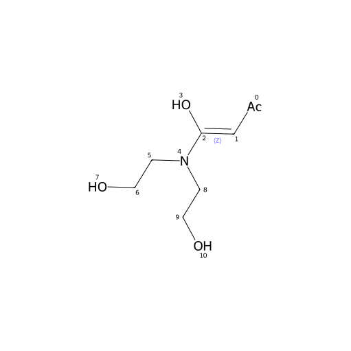 CC(=O)/C=C(\O)N(CCO)CCO